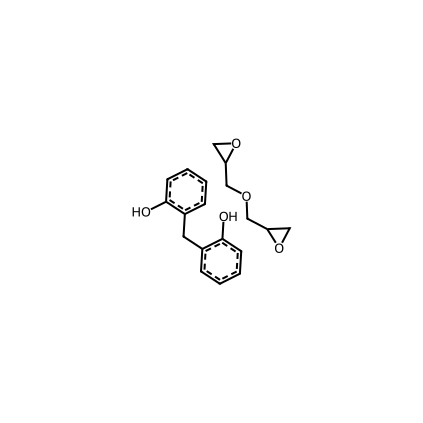 C(OCC1CO1)C1CO1.Oc1ccccc1Cc1ccccc1O